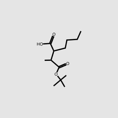 CCCCC(C(=O)O)C(C)C(=O)OC(C)(C)C